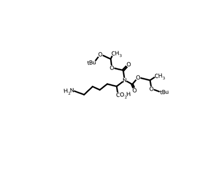 CC(OC(=O)N(C(=O)OC(C)OC(C)(C)C)C(CCCCN)C(=O)O)OC(C)(C)C